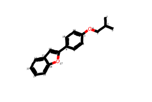 CC(C)COc1ccc(-c2cc3ccccc3o2)cc1